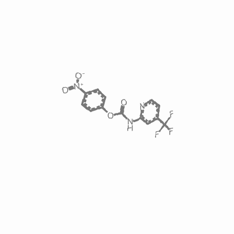 O=C(Nc1cc(C(F)(F)F)ccn1)Oc1ccc([N+](=O)[O-])cc1